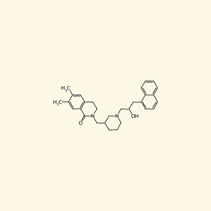 Cc1cc2c(cc1C)C(=O)N(CC1CCCN(CC(O)Cc3cccc4ccccc34)C1)CC2